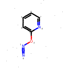 [N]=NOc1ccccn1